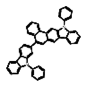 c1ccc(-n2c3ccccc3c3ccc(-c4cc5cc6c7ccccc7n(-c7ccccc7)c6cc5c5ccccc45)cc32)cc1